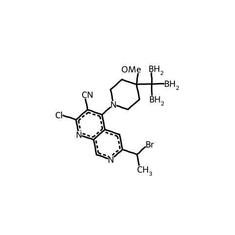 BC(B)(B)C1(OC)CCN(c2c(C#N)c(Cl)nc3cnc(C(C)Br)cc23)CC1